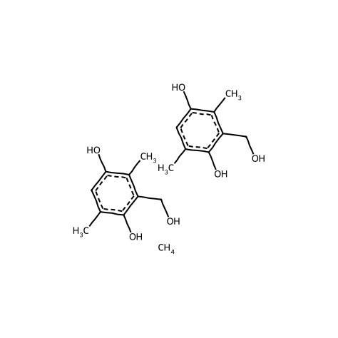 C.Cc1cc(O)c(C)c(CO)c1O.Cc1cc(O)c(C)c(CO)c1O